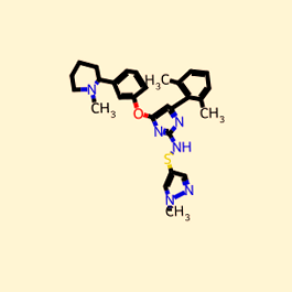 Cc1cccc(C)c1-c1cc(Oc2cccc(C3CCCCN3C)c2)nc(NSc2cnn(C)c2)n1